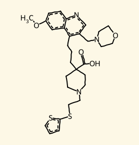 COc1ccc2ncc(CN3CCOCC3)c(CCCC3(C(=O)O)CCN(CCSc4cccs4)CC3)c2c1